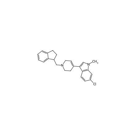 Cn1cc(C2=CCN(CC3CCc4ccccc43)CC2)c2ccc(Cl)cc21